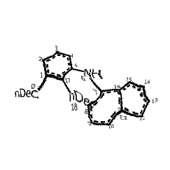 CCCCCCCCCCc1cccc(Nc2cccc3ccccc23)c1CCCCCCCCCC